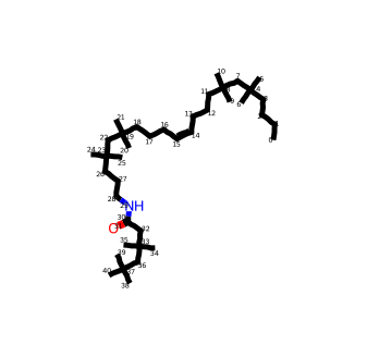 CCCCC(C)(C)CC(C)(C)CCC/C=C\CCCC(C)(C)CC(C)(C)CCCNC(=O)CC(C)(C)CC(C)(C)C